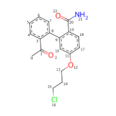 CC(=O)c1ccccc1-c1cc(OCCCCl)ccc1C(N)=O